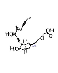 CCC#CC[C@H](C)[C@H](O)C#C[C@@H]1[C@H]2C/C(=C\COCC(=O)O)C[C@H]2C[C@H]1O